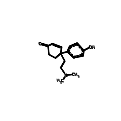 CN(C)CCC1(c2ccc(O)cc2)C=CC(=O)CC1